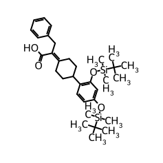 CC(C)(C)[Si](C)(C)Oc1ccc(C2CCC(=C(Cc3ccccc3)C(=O)O)CC2)c(O[Si](C)(C)C(C)(C)C)c1